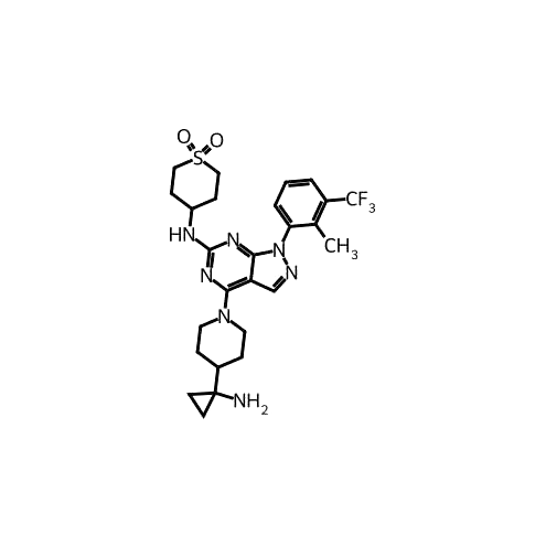 Cc1c(-n2ncc3c(N4CCC(C5(N)CC5)CC4)nc(NC4CCS(=O)(=O)CC4)nc32)cccc1C(F)(F)F